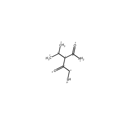 CC(C)C(C(N)=O)C(=O)CS